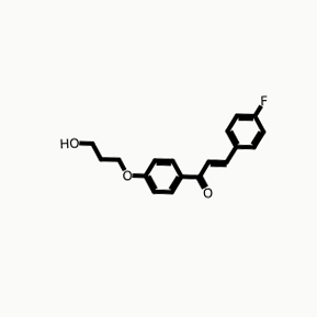 O=C(C=Cc1ccc(F)cc1)c1ccc(OCCCO)cc1